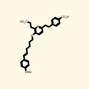 COc1ccc(C=CCCCCOc2ccc(CCc3ccc(C(=O)O)cc3)nc2CCC(=O)O)cc1